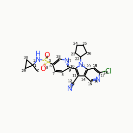 CC1(NS(=O)(=O)c2ccc(-c3c(C#N)c4cnc(Cl)cc4n3C3CCCC3)nc2)CC1